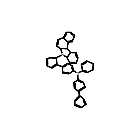 C1=CC2C3c4ccccc4C=CC3N(c3ccccc3-c3ccc(N(C4=CCCC=C4)c4ccc(-c5ccccc5)cc4)cc3)C2C=C1